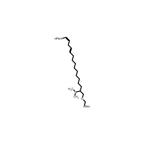 CCCCC/C=C\CC=CCCCCCCCCCC(COCCCCCCCCCCC)N(C)C